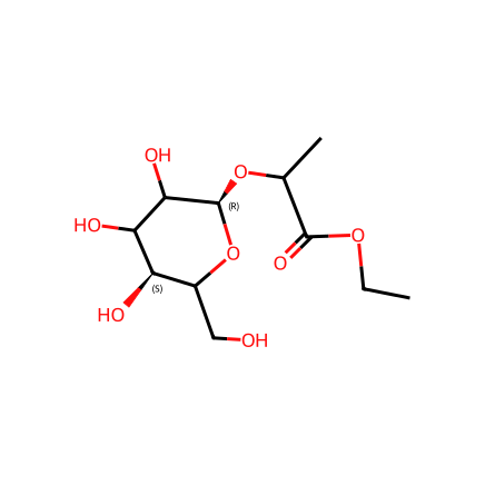 CCOC(=O)C(C)O[C@H]1OC(CO)[C@@H](O)C(O)C1O